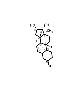 C[C@]12CC[C@H]3[C@@H](CCC4C[C@H](O)CC[C@@]43C)[C@@H]1C[C@H](O)[C@@H]2O